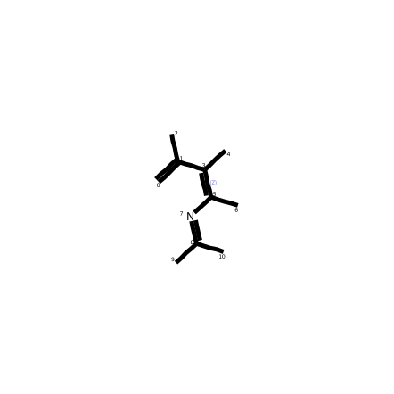 C=C(C)/C(C)=C(/C)N=C(C)C